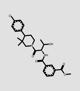 COC(=O)c1cccc(C(=O)N[C@@H](C(=O)N2CCC(c3ccc(Cl)cc3)C(C)(C)C2)C(C)O)c1